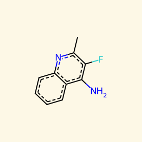 Cc1nc2ccccc2c(N)c1F